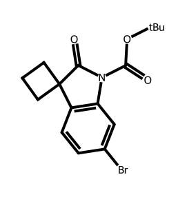 CC(C)(C)OC(=O)N1C(=O)C2(CCC2)c2ccc(Br)cc21